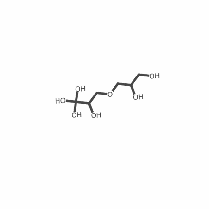 OCC(O)COCC(O)C(O)(O)O